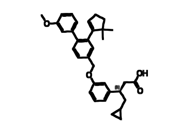 COc1cccc(-c2ccc(COc3cccc([C@@H](CC(=O)O)CC4CC4)c3)cc2C2=CCCC2(C)C)c1